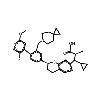 COc1cc(-c2ccc([C@@H]3CCc4ccc(C(C5CC5)[C@H](C)C(=O)O)cc4O3)cc2CN2CCC3(CC2)CC3)c(F)cn1